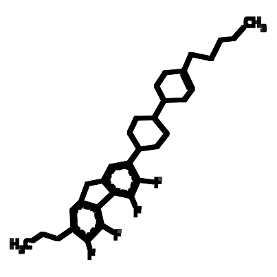 CCCCCC1=CCC(C2CCC(c3cc4c(c(F)c3F)-c3c(cc(CCC)c(F)c3F)C4)CC2)CC1